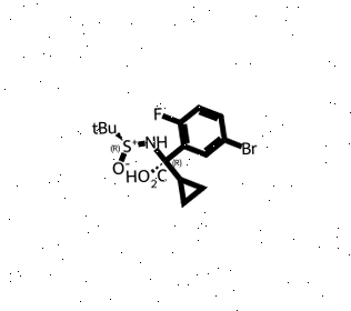 CC(C)(C)[S@+]([O-])N[C@@](C(=O)O)(c1cc(Br)ccc1F)C1CC1